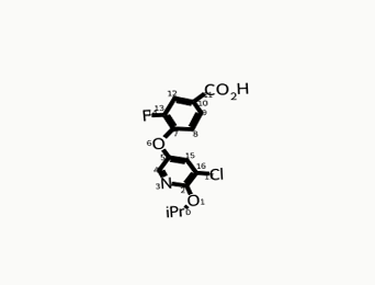 CC(C)Oc1ncc(Oc2ccc(C(=O)O)cc2F)cc1Cl